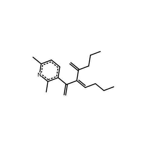 C=C(CCC)/C(=C\CCC)C(=C)c1ccc(C)nc1C